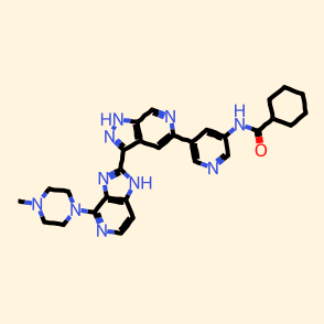 CN1CCN(c2nccc3[nH]c(-c4n[nH]c5cnc(-c6cncc(NC(=O)C7CCCCC7)c6)cc45)nc23)CC1